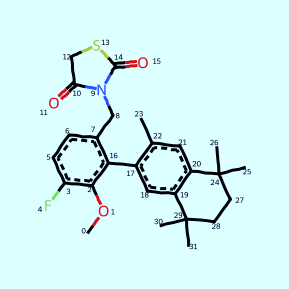 COc1c(F)ccc(CN2C(=O)CSC2=O)c1-c1cc2c(cc1C)C(C)(C)CCC2(C)C